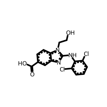 O=C(O)c1ccc2c(c1)nc(Nc1c(Cl)cccc1Cl)n2CCO